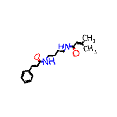 CC(C)=CC(=O)NCCCCNC(=O)C=Cc1ccccc1